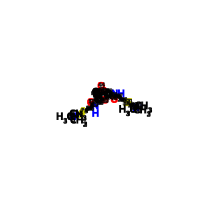 C[N+](C)(C)CCSSCCCC(=O)Nc1ccc2c(c1)Oc1cc(NC(=O)CCCSSCC[N+](C)(C)C)ccc1C21OC(=O)c2ccccc21